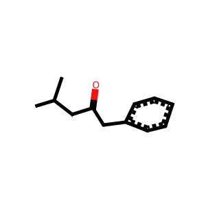 CC(C)[CH]C(=O)Cc1ccccc1